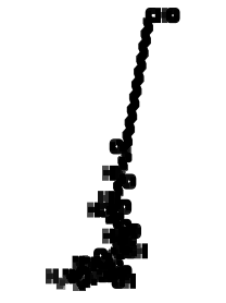 CC(C)(COP(=O)(O)OP(=O)(O)OC[C@H]1O[C@@H](n2cnc3c(N)ncnc32)[C@H](O)[C@@H]1OP(=O)(O)O)[C@@H](O)C(=O)NCCC(=O)NCCSC(=O)CCCCCCCCCCCCCCCCCCCCC=O